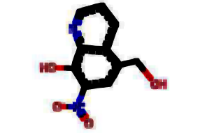 O=[N+]([O-])c1cc(CO)c2cccnc2c1O